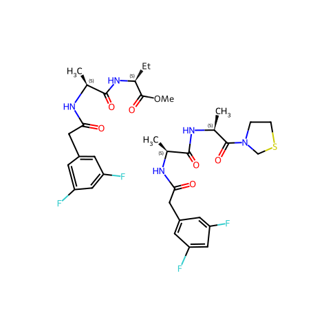 CC[C@H](NC(=O)[C@H](C)NC(=O)Cc1cc(F)cc(F)c1)C(=O)OC.C[C@H](NC(=O)Cc1cc(F)cc(F)c1)C(=O)N[C@@H](C)C(=O)N1CCSC1